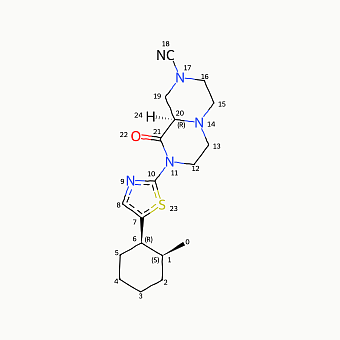 C[C@H]1CCCC[C@H]1c1cnc(N2CCN3CCN(C#N)C[C@@H]3C2=O)s1